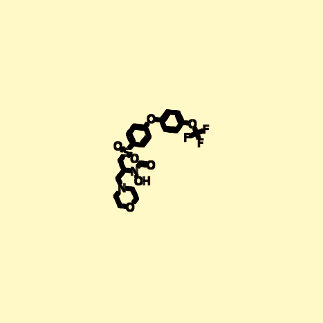 O=CN(O)C(CN1CCOCC1)CS(=O)(=O)c1ccc(Oc2ccc(OC(F)(F)F)cc2)cc1